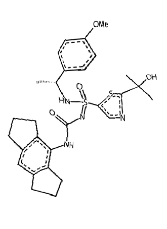 COc1ccc([C@@H](C)NS(=O)(=NC(=O)Nc2c3c(cc4c2CCC4)CCC3)c2cnc(C(C)(C)O)s2)cc1